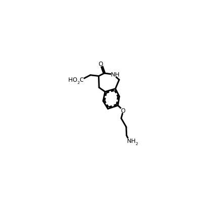 NCCCOc1ccc2c(c1)CNC(=O)C(CC(=O)O)C2